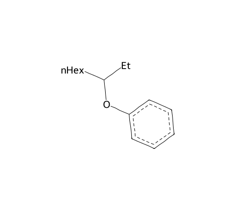 C[CH]CCCCC(CC)Oc1ccccc1